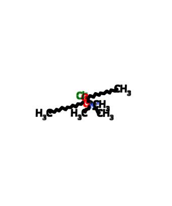 CCCCCCCCCCCCCCOC(C[N+](C)(CCCC)CCCC)C(=O)CCCCCCCCCCC.[Cl-]